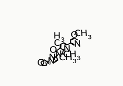 COc1cncc(-c2cc(C)c3c(n2)C(C)(C)N(c2ccn([C@@H]4CCOC4)n2)C3=O)c1